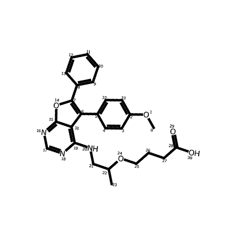 COc1ccc(-c2c(-c3ccccc3)oc3ncnc(NCC(C)OCCCC(=O)O)c23)cc1